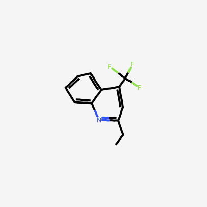 CCc1cc(C(F)(F)F)c2ccccc2n1